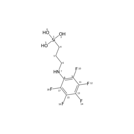 O[Si](O)(O)CCCNc1c(F)c(F)c(F)c(F)c1F